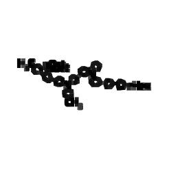 CCCCCCCCC1(CCCCCCCC)c2cc(C)ccc2-c2ccc(-c3ccc(N(c4ccc(C)cc4)c4ccc(-c5ccc6c7ccccc7n(-c7cccc(-c8ccc(-c9ccc(CCCCCC)cc9)cc8)c7)c6c5)cc4)cc3)cc21